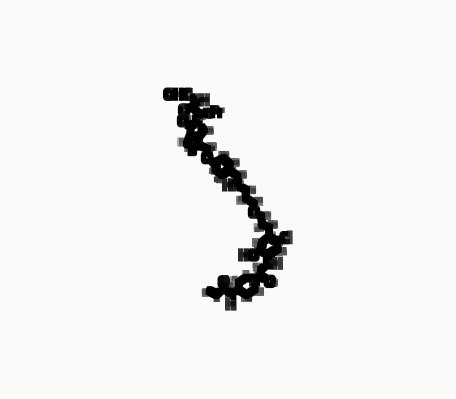 C=C[S+]([O-])NC1CCN(C(=O)CNc2cc(Cl)c(CCCOCCCNCc3ccc(OCc4scc5c4CN(C(CCC)C(=O)NC=O)C5=O)cc3)cc2O)CC1